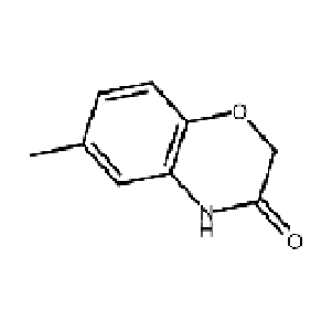 Cc1ccc2c(c1)NC(=O)CO2